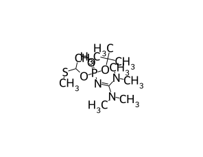 CSC(C)OP(=O)(N=C(N(C)C)N(C)C)OC(C)(C)C